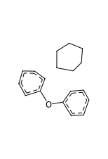 C1CCCCC1.c1ccc(Oc2ccccc2)cc1